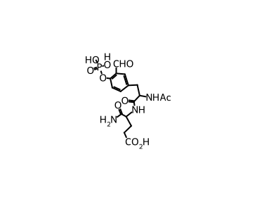 CC(=O)NC(Cc1ccc(OP(=O)(O)O)c(C=O)c1)C(=O)NC(CCC(=O)O)C(N)=O